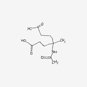 CC(=O)NC(C)(CCC(=O)O)CCC(=O)O